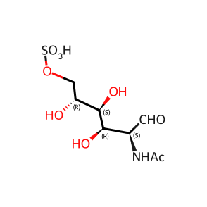 CC(=O)N[C@H](C=O)[C@@H](O)[C@H](O)[C@H](O)COS(=O)(=O)O